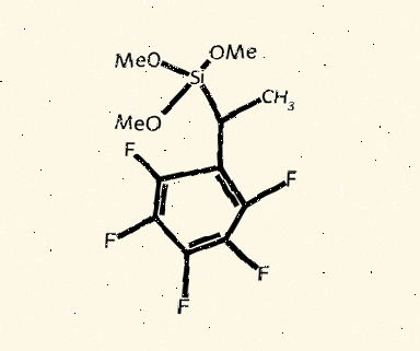 CO[Si](OC)(OC)C(C)c1c(F)c(F)c(F)c(F)c1F